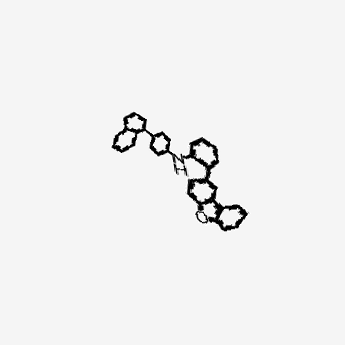 c1ccc(-c2ccc3oc4ccccc4c3c2)c(Nc2ccc(-c3cccc4ccccc34)cc2)c1